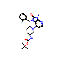 Cn1c(=O)n(Cc2ccccc2F)c2c(N3CCC[C@@H](NC(=O)OC(C)(C)C)C3)ccnc21